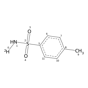 [2H]NS(=O)(=O)c1ccc(C)cc1